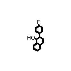 OC1c2ccccc2C=CC1c1ccc(F)cc1